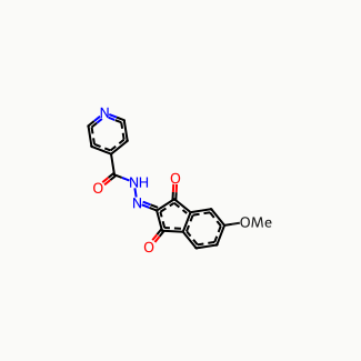 COc1ccc2c(=O)c(=NNC(=O)c3ccncc3)c(=O)c2c1